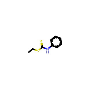 CCSC(=S)Nc1ccccc1